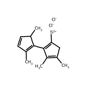 CC1=C(C2=[C]([Ti+2])CC(C)=C2C)C(C)C=C1.[Cl-].[Cl-]